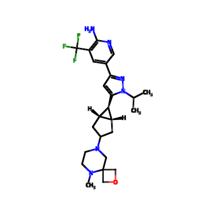 CC(C)n1nc(-c2cnc(N)c(C(F)(F)F)c2)cc1[C@H]1[C@@H]2CC(N3CCN(C)C4(COC4)C3)C[C@@H]21